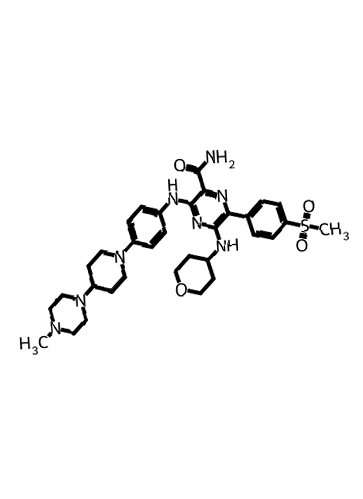 CN1CCN(C2CCN(c3ccc(Nc4nc(NC5CCOCC5)c(-c5ccc(S(C)(=O)=O)cc5)nc4C(N)=O)cc3)CC2)CC1